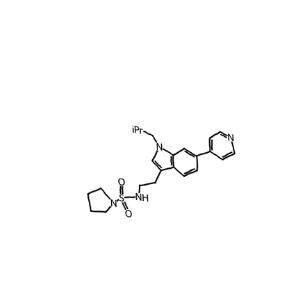 CC(C)Cn1cc(CCNS(=O)(=O)N2CCCC2)c2ccc(-c3ccncc3)cc21